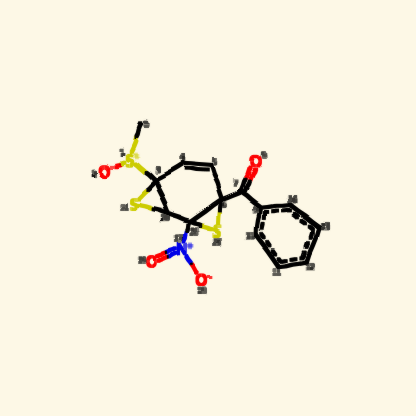 C[S+]([O-])C12C=CC3(C(=O)c4ccccc4)SC3([N+](=O)[O-])C1S2